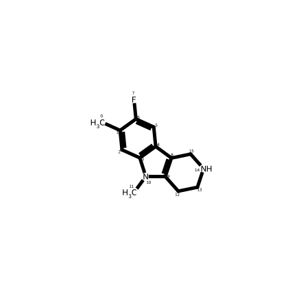 Cc1cc2c(cc1F)c1c(n2C)CCNC1